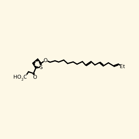 CCC=CCC=CCC=CCCCCCCCCOc1ccc(C(=O)CC(=O)O)s1